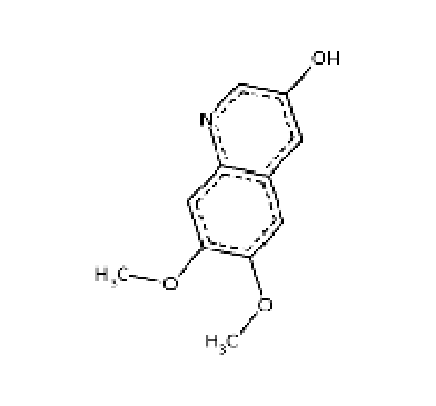 COc1cc2cc(O)cnc2cc1OC